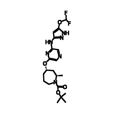 C[C@@H]1C[C@@H](Oc2cncc(Nc3cc(OC(F)F)[nH]n3)n2)CCCN1C(=O)OC(C)(C)C